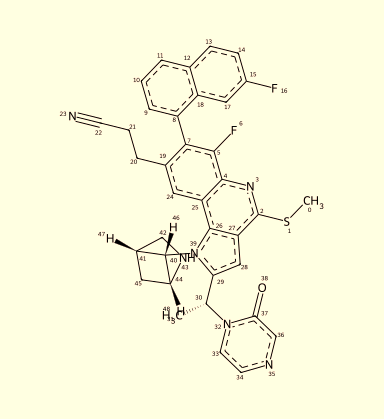 CSc1nc2c(F)c(-c3cccc4ccc(F)cc34)c(CCC#N)cc2c2c1cc([C@@H](C)n1ccncc1=O)n2[C@H]1[C@H]2CN[C@@H]1C2